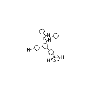 N#Cc1ccc(-c2cc(-c3ccc(C45CC6C[C@H](C4)C[C@@H](C6)C5)cc3)cc(-c3nc(-c4ccccc4)nc(-c4ccccc4)n3)c2)cc1